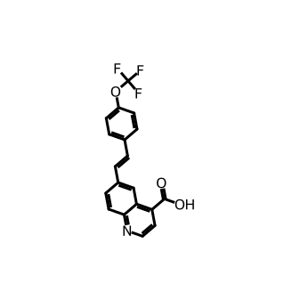 O=C(O)c1ccnc2ccc(C=Cc3ccc(OC(F)(F)F)cc3)cc12